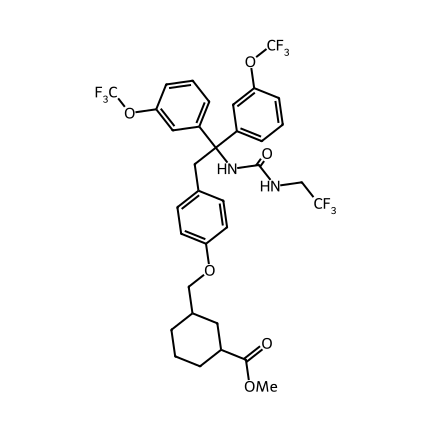 COC(=O)C1CCCC(COc2ccc(CC(NC(=O)NCC(F)(F)F)(c3cccc(OC(F)(F)F)c3)c3cccc(OC(F)(F)F)c3)cc2)C1